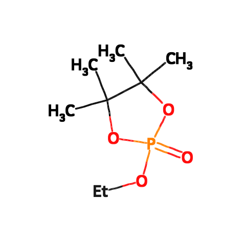 CCOP1(=O)OC(C)(C)C(C)(C)O1